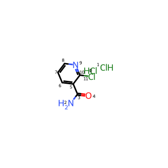 Cl.Cl.NC(=O)c1cccnc1Cl